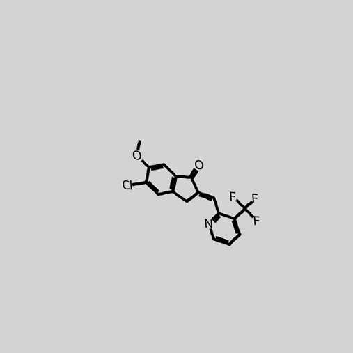 COc1cc2c(cc1Cl)C/C(=C\c1ncccc1C(F)(F)F)C2=O